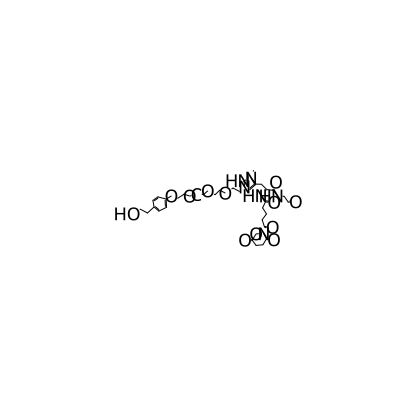 CN1NN(CCOCCOCCOCCOc2ccc(CCO)cc2)C=C1CC(NC(=O)CCCC(=O)N1OC(=O)CCC1=O)C(=O)NCC=O